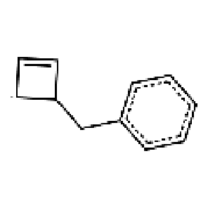 [CH]1C=CC1Cc1ccccc1